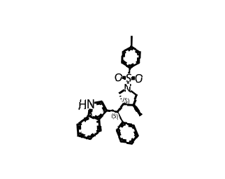 C=C1CN(S(=O)(=O)c2ccc(C)cc2)C[C@H]1[C@@H](c1ccccc1)c1c[nH]c2ccccc12